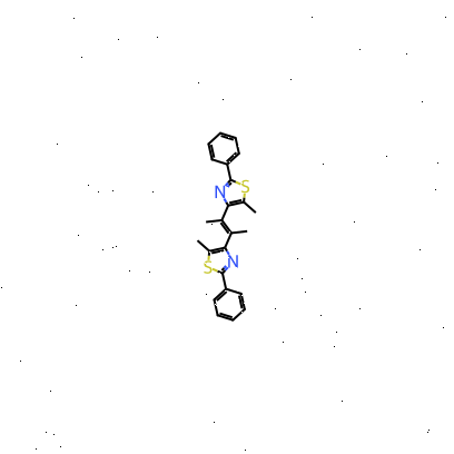 C/C(=C(/C)c1nc(-c2ccccc2)sc1C)c1nc(-c2ccccc2)sc1C